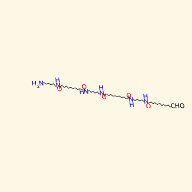 NCCCCCCNC(=O)CCCCCCCCCCC(=O)NCCCCCCNC(=O)CCCCCCCCCCC(=O)NCCCCCCNC(=O)CCCCCCCCCCC=O